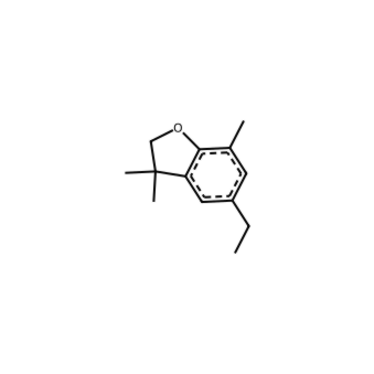 CCc1cc(C)c2c(c1)C(C)(C)CO2